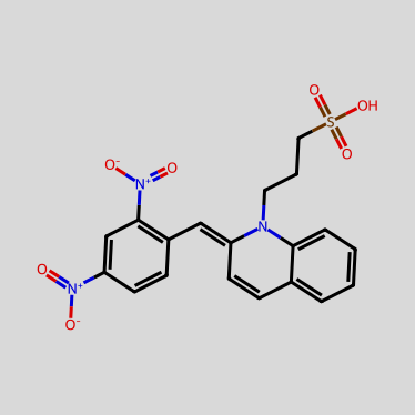 O=[N+]([O-])c1ccc(/C=C2\C=Cc3ccccc3N2CCCS(=O)(=O)O)c([N+](=O)[O-])c1